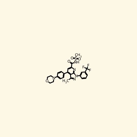 Cc1nn(-c2cccc(C(F)(F)F)c2)c2nc(C(=O)NS(C)(=O)=O)cc(-c3ccc(N4CCOCC4)cc3)c12